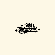 CCCCCCCCCCCC(=O)OC[C@@H](O)[C@H]1OC[C@H](O)[C@H]1O.CCCCCCCCCCCCCCCCCC(=O)O.OCC(O)CO